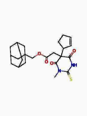 CN1C(=O)C(CC(=O)OCC23CC4CC(CC(C4)C2)C3)(C2C=CCC2)C(=O)NC1=S